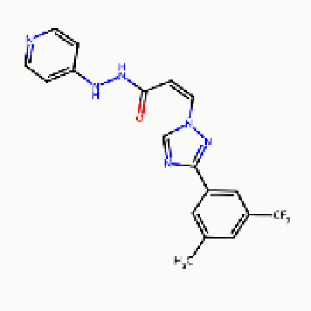 Cc1cc(-c2ncn(/C=C\C(=O)NNc3ccncc3)n2)cc(C(F)(F)F)c1